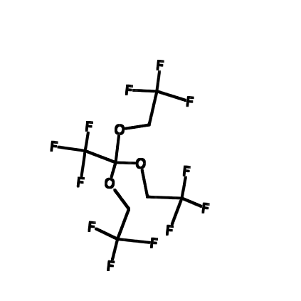 FC(F)(F)COC(OCC(F)(F)F)(OCC(F)(F)F)C(F)(F)F